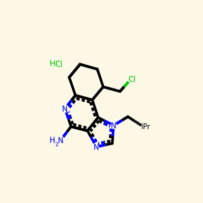 CC(C)Cn1cnc2c(N)nc3c(c21)C(CCl)CCC3.Cl